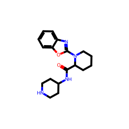 O=C(NC1CCNCC1)C1CCCCN1c1nc2ccccc2o1